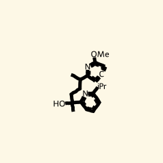 COc1cccc(C(C)CCC(C)(O)c2cccc(C(C)C)n2)n1